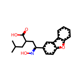 CC(C)CC(C/C(=N\O)c1ccc2oc3ccccc3c2c1)C(=O)O